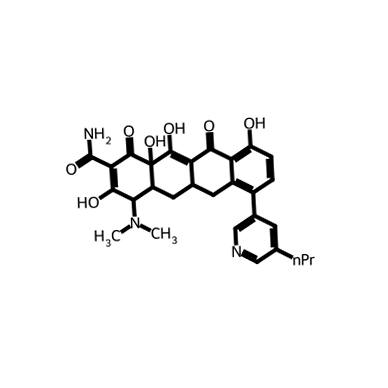 CCCc1cncc(-c2ccc(O)c3c2CC2CC4C(N(C)C)C(O)=C(C(N)=O)C(=O)C4(O)C(O)=C2C3=O)c1